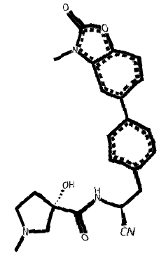 CN1CC[C@@](O)(C(=O)N[C@H](C#N)Cc2ccc(-c3ccc4oc(=O)n(C)c4c3)cc2)C1